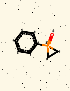 O=P1(c2ccccc2)CC1